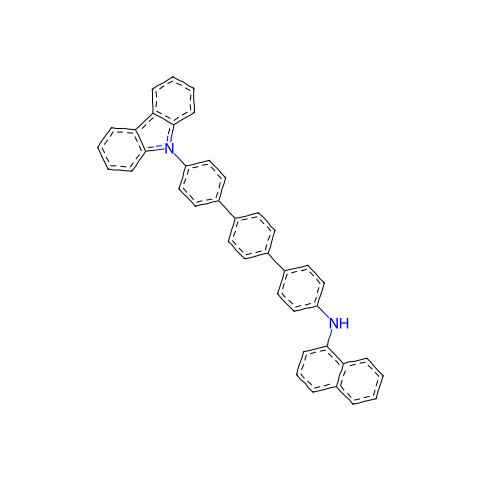 c1ccc2c(Nc3ccc(-c4ccc(-c5ccc(-n6c7ccccc7c7ccccc76)cc5)cc4)cc3)cccc2c1